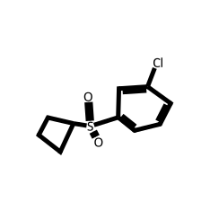 O=S(=O)(c1cccc(Cl)c1)C1CCC1